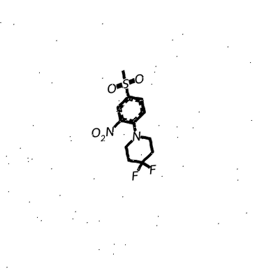 CS(=O)(=O)c1ccc(N2CCC(F)(F)CC2)c([N+](=O)[O-])c1